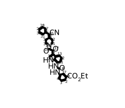 CCOC(=O)c1cccc(NC(=O)Nc2cccc3c(C(=O)C(=O)N4CCC(=C(C#N)c5ccccc5)CC4)c[nH]c23)c1